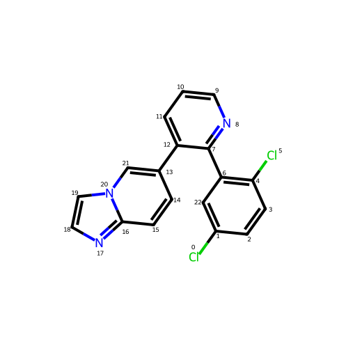 Clc1ccc(Cl)c(-c2ncccc2-c2ccc3nccn3c2)c1